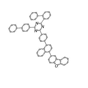 c1ccc(-c2ccc(-c3nc(-c4ccc(-c5ccc(-c6ccc7oc8ccccc8c7c6)c6ccccc56)cc4)nc(-c4ccccc4-c4ccccc4)n3)cc2)cc1